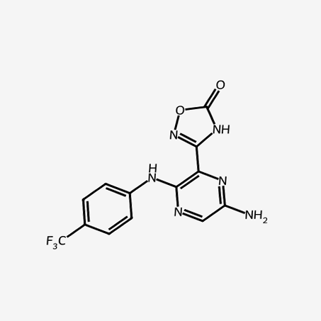 Nc1cnc(Nc2ccc(C(F)(F)F)cc2)c(-c2noc(=O)[nH]2)n1